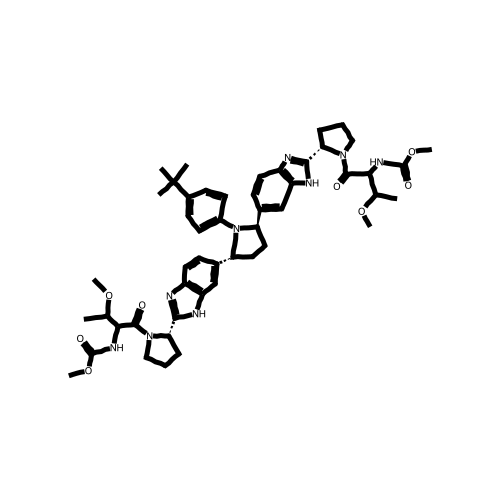 COC(=O)NC(C(=O)N1CCC[C@H]1c1nc2ccc([C@H]3CC[C@H](c4ccc5nc([C@@H]6CCCN6C(=O)C(NC(=O)OC)C(C)OC)[nH]c5c4)N3c3ccc(C(C)(C)C)cc3)cc2[nH]1)C(C)OC